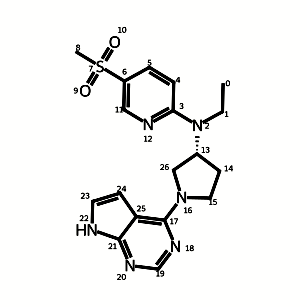 CCN(c1ccc(S(C)(=O)=O)cn1)[C@@H]1CCN(c2ncnc3[nH]ccc23)C1